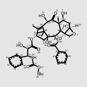 CC(=O)O[C@@]12CO[C@@H]1C[C@H](O)[C@@]1(C)C(=O)[C@H](O)C3=C(C)[C@@H](OC(=O)[C@H](O)[C@@H](NC(=O)OC(C)(C)C)c4ccccc4)C[C@@](O)([C@@H](CC(=O)c4ccccc4)[C@H]21)C3(C)C